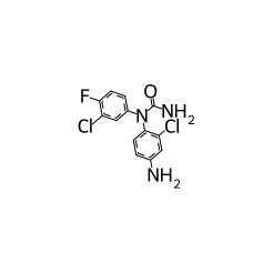 NC(=O)N(c1ccc(F)c(Cl)c1)c1ccc(N)cc1Cl